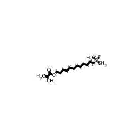 C=C(C)C(=O)OCCCCCCCCCCCC[Si](C)(C)F